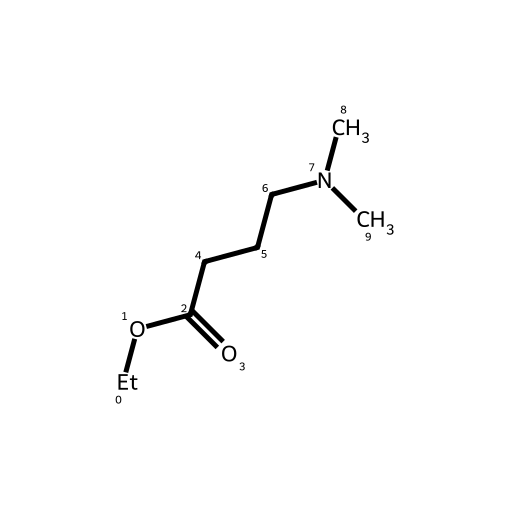 CCOC(=O)CCCN(C)C